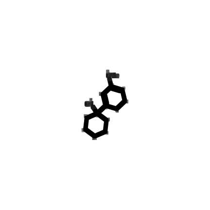 COC1=CCCC(C2(N=O)CCCCC2)=C1